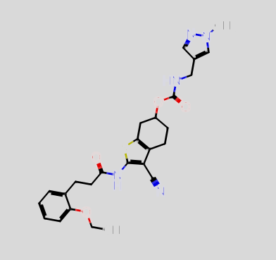 CCOc1ccccc1CCC(=O)Nc1sc2c(c1C#N)CCC(OC(=O)NCc1cnn(C)c1)C2